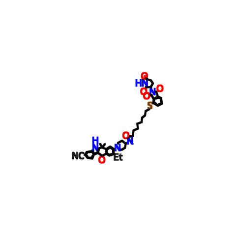 CCc1cc2c(cc1N1CCC(N(C)C(=O)CCCCCCCCCSc3cccc4c3C(=O)N(C3CCC(=O)NC3=O)C4=O)CC1)C(C)(C)c1[nH]c3cc(C#N)ccc3c1C2=O